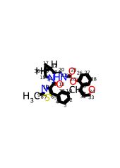 Cc1cccc(-c2sc(C)nc2C(=O)N2C[C@@H]3C[C@@H]3[C@H]2CNC(=O)Oc2cccc3c2C=CCO3)c1